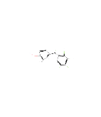 NOc1ccc(C(F)c2cc(F)c(F)c(F)c2F)cc1C(=O)O